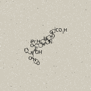 CC(C)C1=C2C(CC[C@]3(C)[C@@H]2CC[C@@H]2[C@@]4(C)CC[C@H](OC(=O)CC(C)(C)C(=O)O)C(C)(C)[C@@H]4CC[C@]23C)[C@H]([C@@H](O)CN(CC(=O)N2CCOCC2)Cc2ccccc2)C1=O